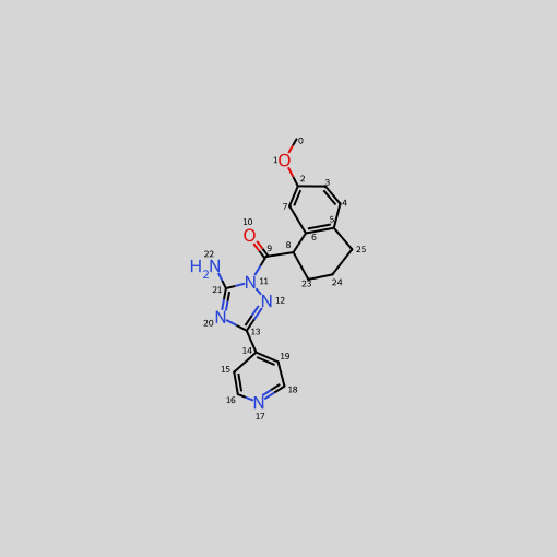 COc1ccc2c(c1)C(C(=O)n1nc(-c3ccncc3)nc1N)CCC2